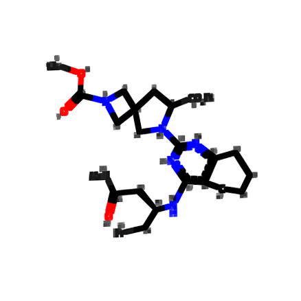 CCOC(=O)C1CC2(CN(C(=O)OC(C)(C)C)C2)CN1c1nc2c(c(N[C@H](CC(=O)NC)CC(C)C)n1)CCCC2